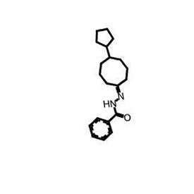 O=C(NN=C1CCCC(C2CCCC2)CCC1)c1ccccc1